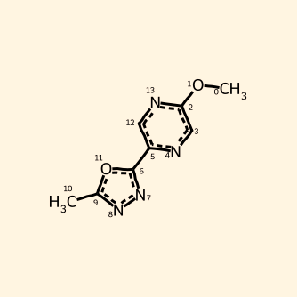 COc1cnc(-c2nnc(C)o2)cn1